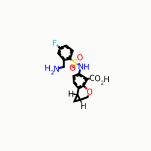 NCc1cc(F)ccc1S(=O)(=O)Nc1ccc2c(c1C(=O)O)OC[C@@H]1C[C@H]21